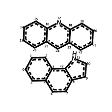 c1ccc2c(c1)ccc1cc[nH]c12.c1ccc2nc3ccccc3cc2c1